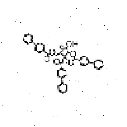 O=C(OCC1SC(O)C(OC(=O)c2ccc(-c3ccccc3)cc2)C1OC(=O)c1ccc(-c2ccccc2)cc1)c1ccc(-c2ccccc2)cc1